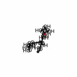 O=C(O)CC[C@H](NC(=O)N[C@@H](CCC(=O)NCCCCCCCC(=O)N[C@@H](CCCCNC(=S)Nc1ccc(CC2CN(CC(=O)O)CCN(CC(=O)O)CCN(CC(=O)O)CCN2CC(=O)O)cc1)C(=O)N[C@@H](CCCCNC(=O)OCc1ccccc1)C(=O)O)C(=O)O)C(=O)O